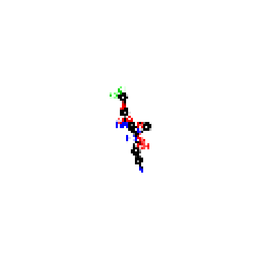 COc1ccccc1CN1Cc2cc3c(cc2CC1C(=O)N[C@@H](Cc1ccc(-c2ccc(C#N)cc2)cc1)C(=O)O)NC(=O)[C@H](c1ccc(OCc2ccc(Cl)c(Cl)c2)cc1)O3